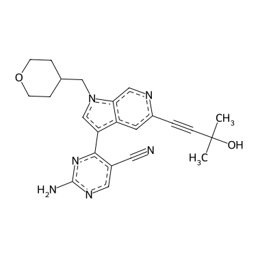 CC(C)(O)C#Cc1cc2c(-c3nc(N)ncc3C#N)cn(CC3CCOCC3)c2cn1